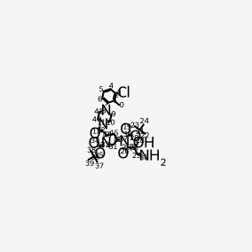 Cc1c(Cl)cccc1N1CCN(C(=O)[C@H]2C[C@H](N(C(=O)OC(C)(C)C)C(=O)[C@@H](O)CN)CN2C(=O)OC(C)(C)C)CC1